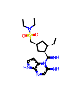 CC[C@H]1C[C@H](CS(=O)(=O)N(CC)CC)C[C@@H]1C(=N)n1c(=N)cnc2[nH]ccc21